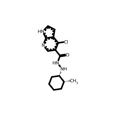 C[C@@H]1CCCC[C@@H]1NNC(=O)c1cnc2[nH]ccc2c1Cl